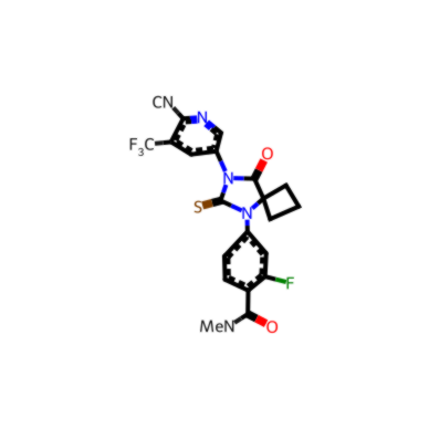 [C-]#[N+]c1ncc(N2C(=O)C3(CCC3)N(c3ccc(C(=O)NC)c(F)c3)C2=S)cc1C(F)(F)F